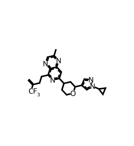 C=C(CCc1nc(C2CCOC(c3cnn(C4CC4)c3)C2)cc2nc(C)cnc12)C(F)(F)F